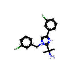 CC(C)(N)c1nc(-c2cccc(F)c2)cn1Cc1cccc(F)c1